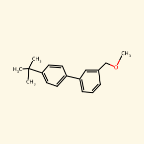 COCc1cccc(-c2ccc(C(C)(C)C)cc2)c1